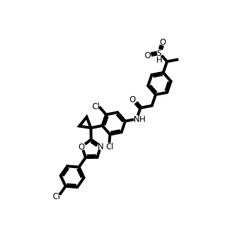 CC(c1ccc(CC(=O)Nc2cc(Cl)c(C3(c4ncc(-c5ccc(Cl)cc5)o4)CC3)c(Cl)c2)cc1)[SH](=O)=O